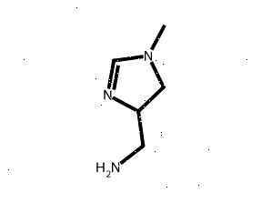 CN1C=NC(CN)C1